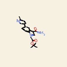 Cc1ccc(-c2ccc3c(c2)c(C(N)=O)cn3CC(=O)OC(C)(C)C)cn1